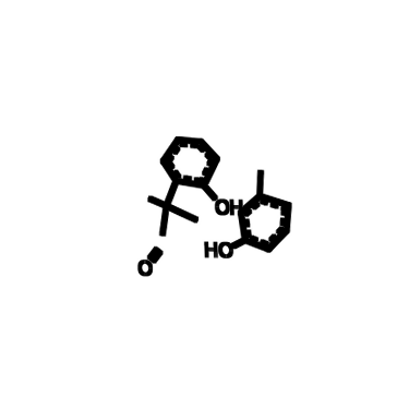 C=O.CC(C)(C)c1ccccc1O.Cc1cccc(O)c1